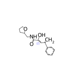 C=C(/C=C(\O)C(=O)NCC1CCCO1)c1ccccc1